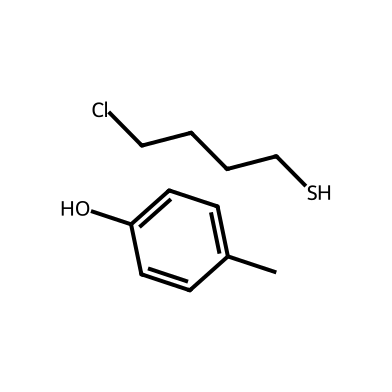 Cc1ccc(O)cc1.SCCCCCl